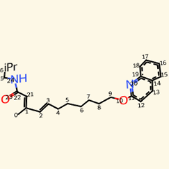 CC(C=CCCCCCCOc1ccc2ccccc2n1)=CC(=O)NCC(C)C